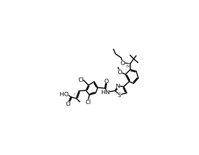 CCCO[C@H](c1cccc(-c2csc(NC(=O)c3cc(Cl)c(/C=C(\C)C(=O)O)c(Cl)c3)n2)c1OC)C(C)(C)C